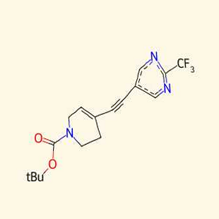 CC(C)(C)OC(=O)N1CC=C(C#Cc2cnc(C(F)(F)F)nc2)CC1